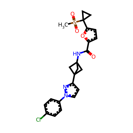 CS(=O)(=O)C1(c2ccc(C(=O)NC34CC(c5ccn(-c6ccc(Cl)cc6)n5)(C3)C4)o2)CC1